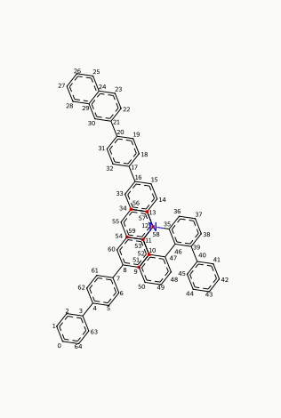 c1ccc(-c2ccc(-c3ccc(N(c4ccc(-c5ccc(-c6ccc7ccccc7c6)cc5)cc4)c4cccc(-c5ccccc5)c4-c4ccccc4-c4ccccc4)cc3)cc2)cc1